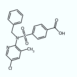 Cc1cc(Cl)cnc1N(Cc1ccccc1)S(=O)(=O)c1ccc(C(=O)O)cc1